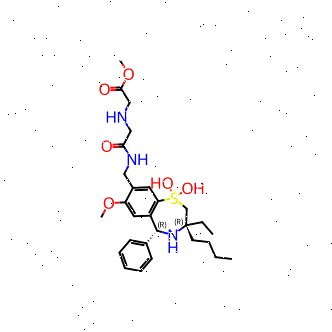 CCCC[C@]1(CC)CS(O)(O)c2cc(CNC(=O)CNCC(=O)OC)c(OC)cc2[C@@H](c2ccccc2)N1